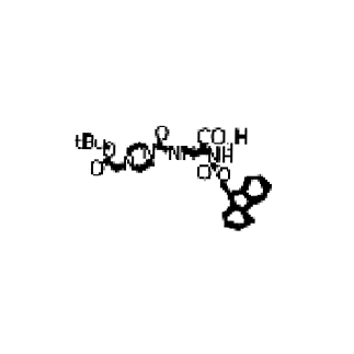 CC(C)(C)OC(=O)CN1CCN(C(=O)NCCC(NC(=O)OCC2c3ccccc3-c3ccccc32)C(=O)O)CC1